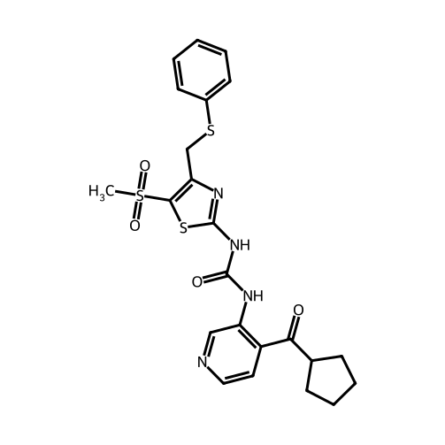 CS(=O)(=O)c1sc(NC(=O)Nc2cnccc2C(=O)C2CCCC2)nc1CSc1ccccc1